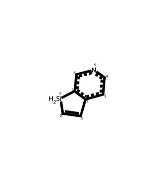 C1=Cc2ccncc2[SiH2]1